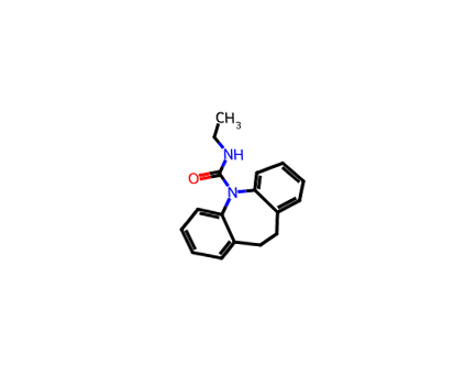 CCNC(=O)N1c2ccccc2CCc2ccccc21